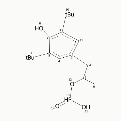 CC(Cc1cc(C(C)(C)C)c(O)c(C(C)(C)C)c1)O[PH](=O)O